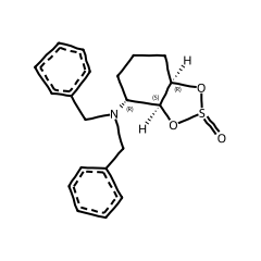 O=S1O[C@H]2[C@H](N(Cc3ccccc3)Cc3ccccc3)CCC[C@H]2O1